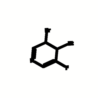 CCC1C(F)=CN=CC1Br